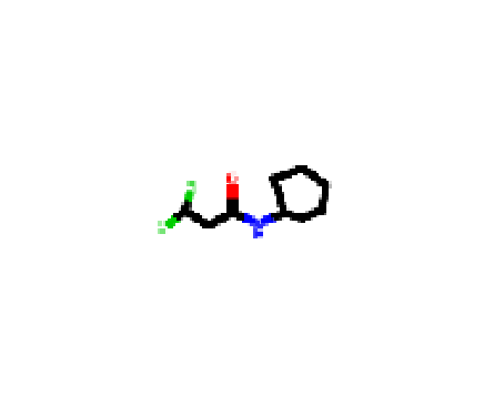 O=C(CC(Cl)Cl)NC1CCCCC1